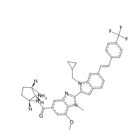 COc1cc(C(=O)N2C[C@H]3CC[C@@H]2[C@H]3N)cc2nc(-c3cc4ccc(/C=C/c5ccc(C(F)(F)F)cc5)cc4n3CC3CC3)n(C)c12